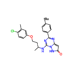 Cc1cc(OCCC(C)Nc2nc(-c3ccc(C(C)(C)C)cc3)nc3cc(=O)[nH]n23)ccc1Cl